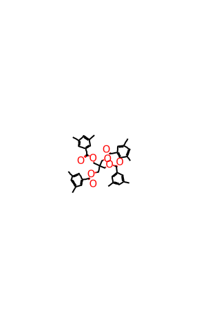 Cc1cc(C)cc(C(=O)OCC(COC(=O)c2cc(C)cc(C)c2)(COC(=O)c2cc(C)cc(C)c2)COC(=O)c2cc(C)cc(C)c2)c1